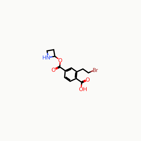 O=C(OC1CCN1)c1ccc(C(=O)O)c(CCBr)c1